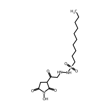 CCCCCCCCCCS(=O)(=O)NNCC(=O)C1CC(=O)N(O)C1=O